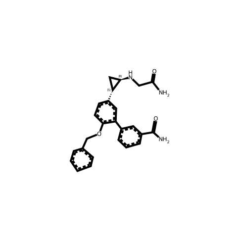 NC(=O)CN[C@@H]1C[C@H]1c1ccc(OCc2ccccc2)c(-c2cccc(C(N)=O)c2)c1